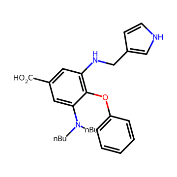 CCCCN(CCCC)c1cc(C(=O)O)cc(NCc2cc[nH]c2)c1Oc1ccccc1